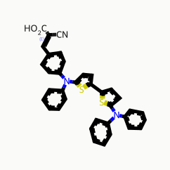 N#C/C(=C\c1ccc(N(c2ccccc2)c2ccc(-c3ccc(N(c4ccccc4)c4ccccc4)s3)s2)cc1)C(=O)O